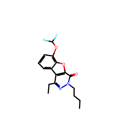 CCCCn1nc(CC)c2c(oc3c(OC(F)F)cccc32)c1=O